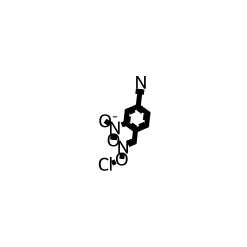 N#Cc1ccc(C=NOCl)c([N+](=O)[O-])c1